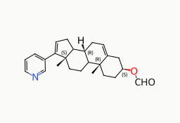 C[C@]12CC[C@H](OC=O)CC1=CC[C@@H]1C2CC[C@]2(C)C(c3cccnc3)=CCC12